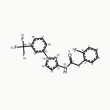 O=C(Cc1ccccc1F)Nc1ccn(-c2cccc(C(F)(F)F)c2)n1